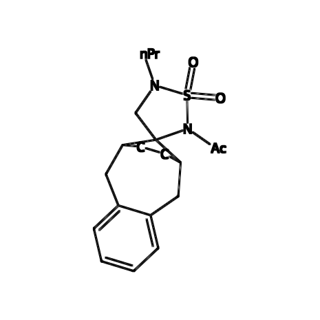 CCCN1CC2(C3CCC2Cc2ccccc2C3)N(C(C)=O)S1(=O)=O